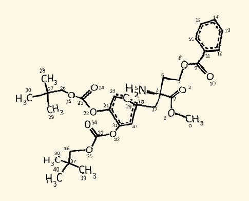 COC(=O)[C@@](N)(CCOC(=O)c1ccccc1)Cc1ccc(OC(=O)OCC(C)(C)C)c(OC(=O)OCC(C)(C)C)c1